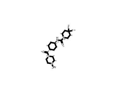 CC(C)N1CCN(C(=O)[C@H]2CC[C@H](NC(=O)N3CCC(F)(F)CC3)CC2)CC1